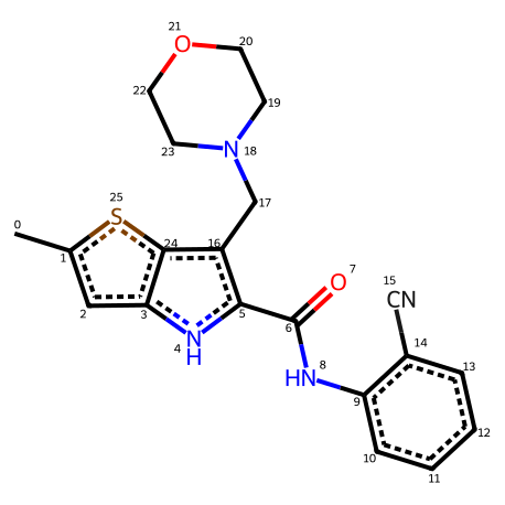 Cc1cc2[nH]c(C(=O)Nc3ccccc3C#N)c(CN3CCOCC3)c2s1